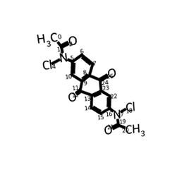 CC(=O)N(Cl)c1ccc2c(c1)C(=O)c1ccc(N(Cl)C(C)=O)cc1C2=O